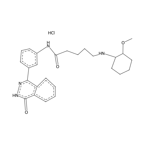 COC1CCCCC1NCCCCC(=O)Nc1cccc(-c2n[nH]c(=O)c3ccccc23)c1.Cl